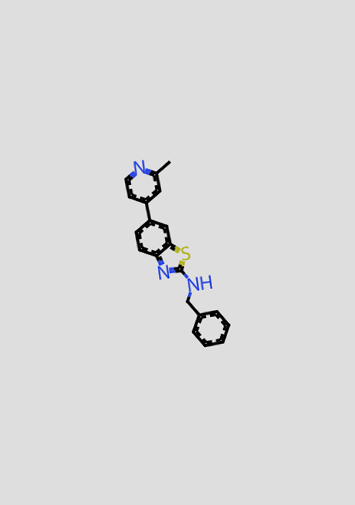 Cc1cc(-c2ccc3nc(NCc4ccccc4)sc3c2)ccn1